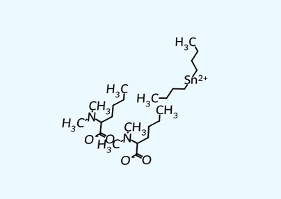 CCCCC(C(=O)[O-])N(C)C.CCCCC(C(=O)[O-])N(C)C.CCC[CH2][Sn+2][CH2]CCC